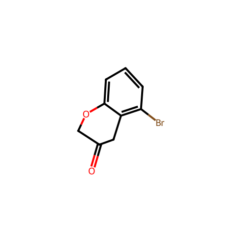 O=C1COc2cccc(Br)c2C1